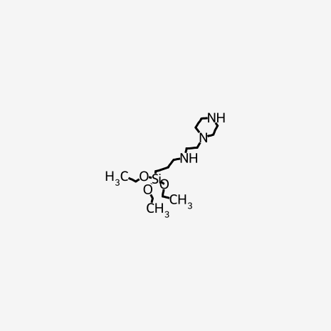 CCO[Si](CCCNCCN1CCNCC1)(OCC)OCC